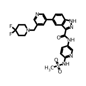 CS(=O)(=O)Nc1ccc(NC(=O)c2n[nH]c3ccc(-c4cncc(CN5CCC(F)(F)CC5)c4)cc23)cn1